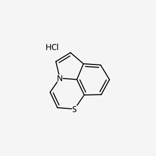 C1=Cn2ccc3cccc(c32)S1.Cl